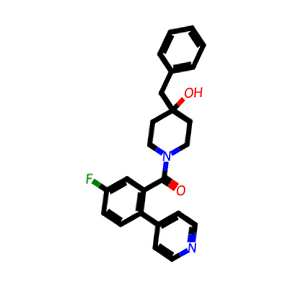 O=C(c1cc(F)ccc1-c1ccncc1)N1CCC(O)(Cc2ccccc2)CC1